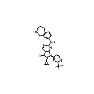 CC(C)(C)c1cc(-n2c3nc(Nc4ccc5c(c4)CNCCC5)ncc3c(=O)n2C2CC2)ccn1